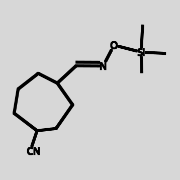 C[Si](C)(C)ON=CC1CCCC(C#N)CC1